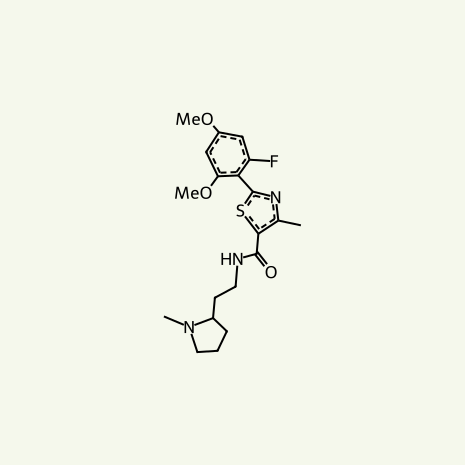 COc1cc(F)c(-c2nc(C)c(C(=O)NCCC3CCCN3C)s2)c(OC)c1